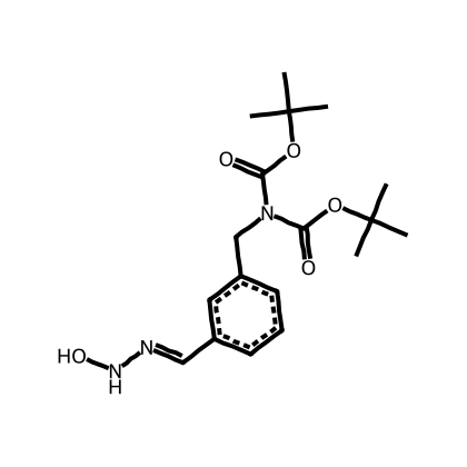 CC(C)(C)OC(=O)N(Cc1cccc(C=NNO)c1)C(=O)OC(C)(C)C